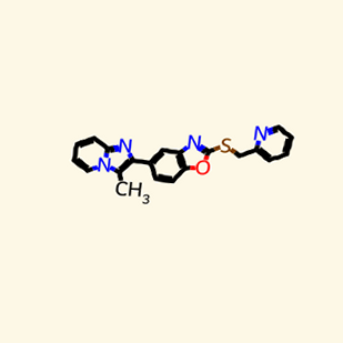 Cc1c(-c2ccc3oc(SCc4ccccn4)nc3c2)nc2ccccn12